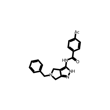 CC(=O)c1ccc(C(=O)Nc2[nH]nc3c2CN(Cc2ccccc2)C3)cc1